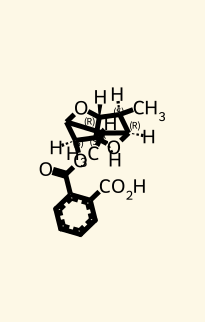 C[C@@H]1[C@H]2OC3[C@H](C)[C@@H]1O[C@@H]2[C@H]3OC(=O)c1ccccc1C(=O)O